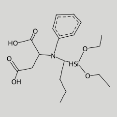 CCCC(N(c1ccccc1)C(CC(=O)O)C(=O)O)[SiH](OCC)OCC